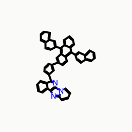 c1cc(-c2ccc3c(-c4ccc5ccccc5c4)c4ccccc4c(-c4ccc5ccccc5c4)c3c2)cc(-c2nc3c(nc4ccccn43)c3ccccc23)c1